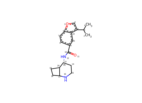 CC(C)c1coc2ccc(C(=O)N[C@@H]3CCNC4CCC43)cc12